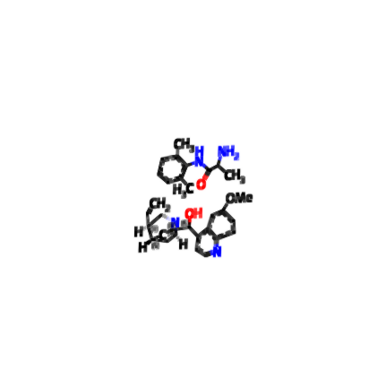 C=C[C@H]1C[N@]2CC[C@H]1C[C@@H]2[C@@H](O)c1ccnc2ccc(OC)cc12.Cc1cccc(C)c1NC(=O)C(C)N